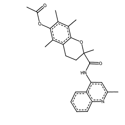 CC(=O)Oc1c(C)c(C)c2c(c1C)CCC(C)(C(=O)Nc1cc(C)nc3ccccc13)O2